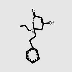 CCC[C@@]1(CCc2ccccc2)CC(O)=CC(=O)O1